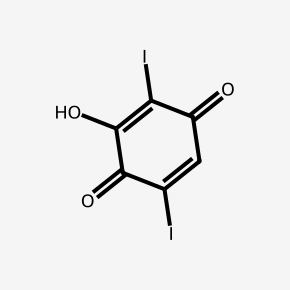 O=C1C=C(I)C(=O)C(O)=C1I